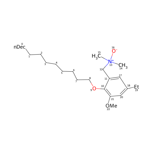 CCCCCCCCCCCCCCCCCCOc1c(C[N+](C)(C)[O-])cc(CC)cc1OC